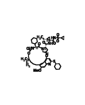 C=C[C@@H]1CC1(NC(=O)[C@@H]1C[C@@H]2CN1C(=O)[C@H](C1CCCCC1)NC(=O)OCC(C)(C)CCCc1cc3c(cc(SC4CCCCC4)nc3cc1OC)O2)C(=O)NS(=O)(=O)C1CC1